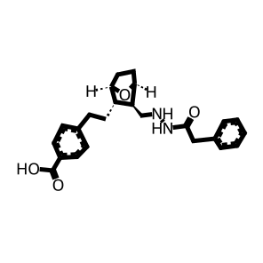 O=C(Cc1ccccc1)NNC[C@H]1[C@H](CCc2ccc(C(=O)O)cc2)[C@H]2CC[C@@H]1O2